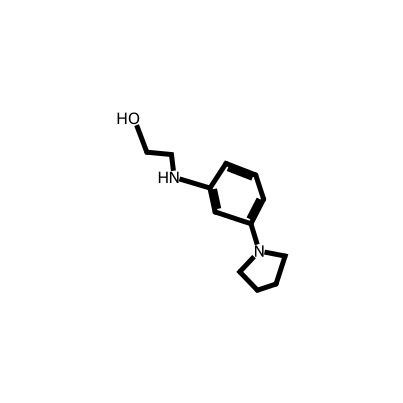 OCCNc1cccc(N2CCCC2)c1